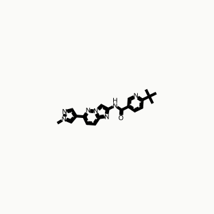 Cn1cc(-c2ccc3nc(NC(=O)c4ccc(C(C)(C)C)nc4)cn3n2)cn1